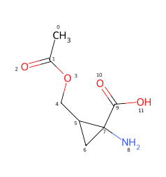 CC(=O)OCC1CC1(N)C(=O)O